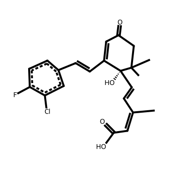 CC(=C/C(=O)O)/C=C/[C@@]1(O)C(/C=C/c2ccc(F)c(Cl)c2)=CC(=O)CC1(C)C